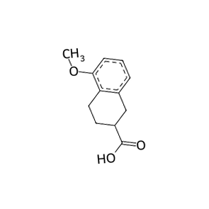 COc1cccc2c1CCC(C(=O)O)C2